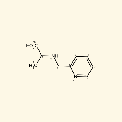 CC(NCc1ccccn1)C(=O)O